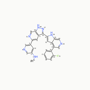 CC(C)Nc1cncc(-c2cc3c(-c4cc5c(-c6ccccc6F)cncc5[nH]4)n[nH]c3cn2)c1